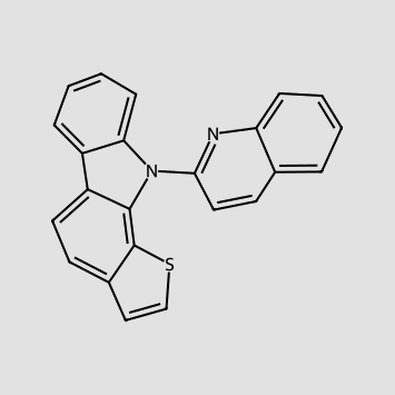 c1ccc2nc(-n3c4ccccc4c4ccc5ccsc5c43)ccc2c1